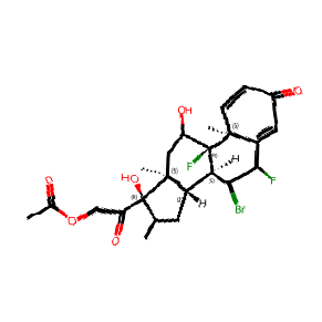 CC(=O)OCC(=O)[C@@]1(O)C(C)C[C@H]2[C@@H]3C(Br)C(F)C4=CC(=O)C=C[C@]4(C)[C@@]3(F)C(O)C[C@@]21C